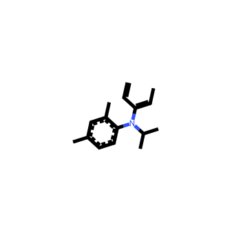 C=C/C(=C\C)N(c1ccc(C)cc1C)C(C)C